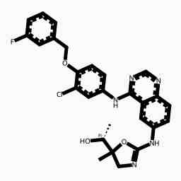 C[C@@H](O)C1(C)CN=C(Nc2ccc3ncnc(Nc4ccc(OCc5cccc(F)c5)c(Cl)c4)c3c2)O1